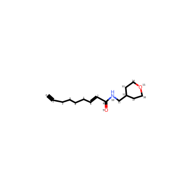 C#CCCCCC=CC(=O)NCC1CCOCC1